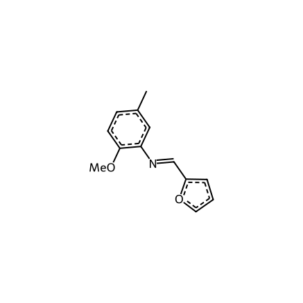 COc1ccc(C)cc1N=Cc1ccco1